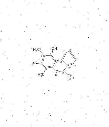 CCCc1c(C)c(O)c2c(c1C)OC(C)c1ccccc1-2